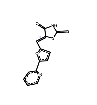 O=C1NC(=S)S/C1=C\c1ccc(-c2ccccn2)o1